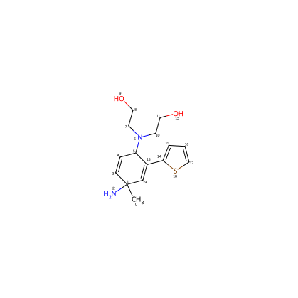 CC1(N)C=CC(N(CCO)CCO)C(c2cccs2)=C1